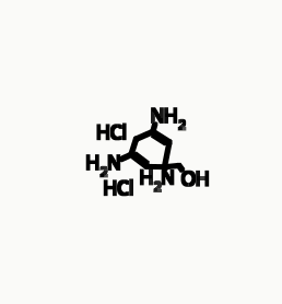 Cl.Cl.NC1=CC(N)(CO)C=C(N)C1